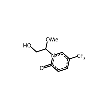 COC(CO)n1cc(C(F)(F)F)ccc1=O